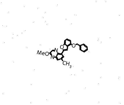 COc1cnc2c(-c3cc4c(OCc5ccccc5)cccc4o3)cc(C)cc2n1